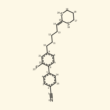 N#Cc1ccc(-c2ccc(CCCCC=C3SCCCS3)cc2F)cc1